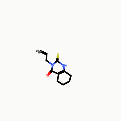 C=CCn1c(=S)[nH]c2c(c1=O)CCCC2